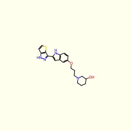 OC1CCCN(CCCOc2ccc3[nH]c(-c4n[nH]c5ccsc45)cc3c2)C1